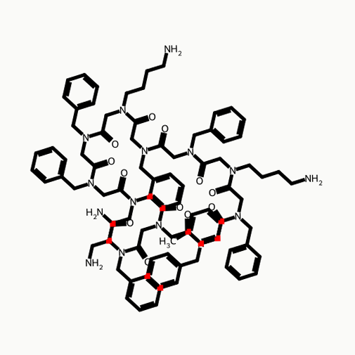 CC(=O)N(CC(=O)N(CC(=O)N(CCCCN)CC(=O)N(CC(=O)N(CC(=O)N(CCCCN)CC(=O)N(CC(=O)N(CC(=O)N(CCCCN)CC(=O)N(CC(=O)N(CC(N)=O)Cc1ccccc1)Cc1ccccc1)Cc1ccccc1)Cc1ccccc1)Cc1ccccc1)Cc1ccccc1)Cc1ccccc1)Cc1ccccc1